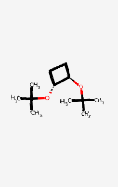 CC(C)(C)O[C@@H]1CC[C@H]1OC(C)(C)C